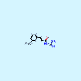 COc1cccc(C=CC(=O)NC(=N)N)c1